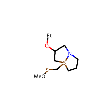 CCOC1CN2CCCS2(CSOC)C1